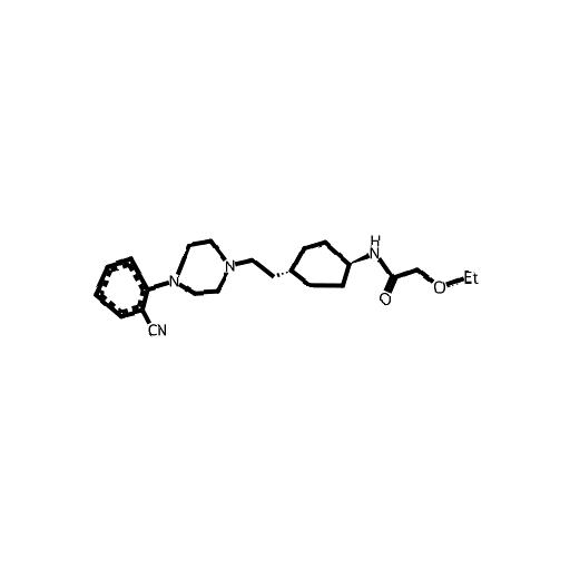 CCOCC(=O)N[C@H]1CC[C@H](CCN2CCN(c3ccccc3C#N)CC2)CC1